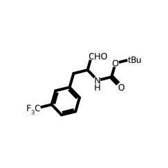 CC(C)(C)OC(=O)NC(C=O)Cc1cccc(C(F)(F)F)c1